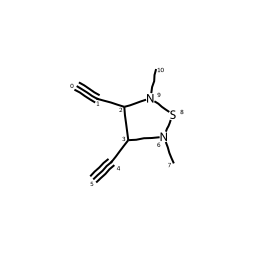 C#CC1C(C#C)N(C)SN1C